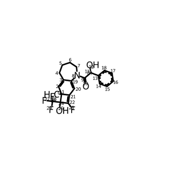 CC12C=C3CCCCN(C(=O)[C@@H](O)c4ccccc4)C3=CC1=C(F)C2(O)C(F)(F)F